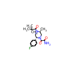 C[C@H]1CN(C(=O)C(N)=O)[C@H](c2ccc(F)cc2)CN1C(=O)C(C)(C)C